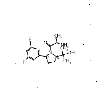 CC(N)C(=O)N1[C@H](c2cc(F)cc(F)c2)CC[C@@H]1C(C)(C)O